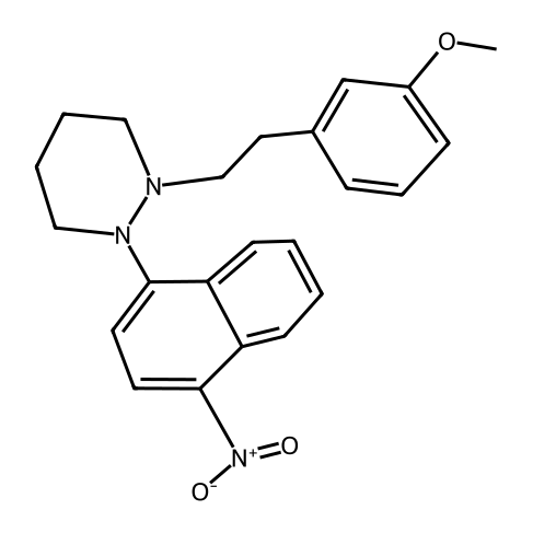 COc1cccc(CCN2CCCCN2c2ccc([N+](=O)[O-])c3ccccc23)c1